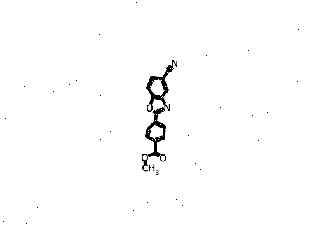 COC(=O)c1ccc(-c2nc3cc(C#N)ccc3o2)cc1